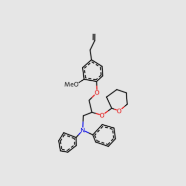 C=CCc1ccc(OCC(CN(c2ccccc2)c2ccccc2)OC2CCCCO2)c(OC)c1